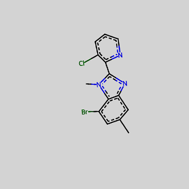 Cc1cc(Br)c2c(c1)nc(-c1ncccc1Cl)n2C